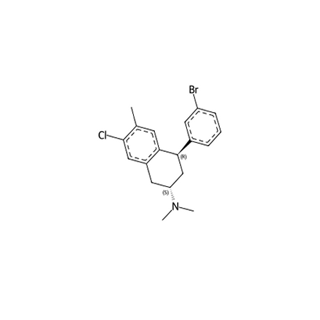 Cc1cc2c(cc1Cl)C[C@@H](N(C)C)C[C@@H]2c1cccc(Br)c1